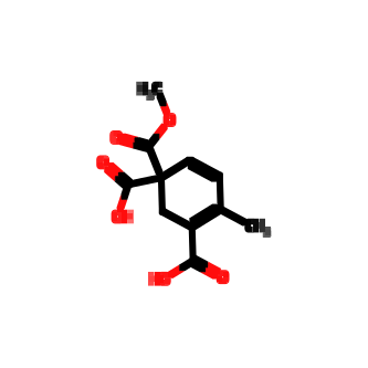 COC(=O)C1(C(=O)O)C=CC(C)=C(C(=O)O)C1